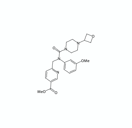 COC(=O)c1ccc(CN(C(=O)N2CCN(C3COC3)CC2)c2cccc(OC)c2)nc1